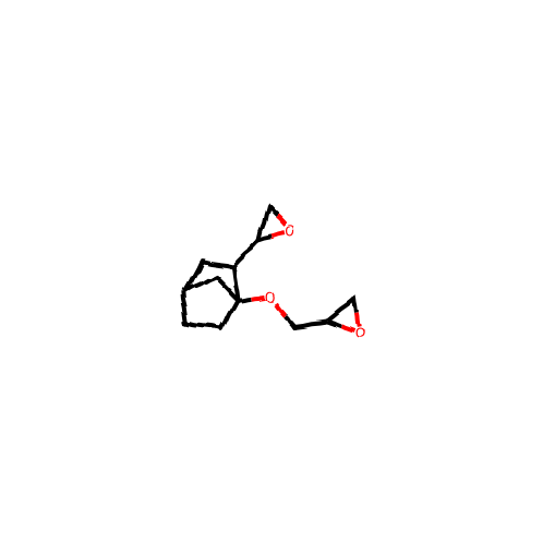 C1CC2(OCC3CO3)CC1CC2C1CO1